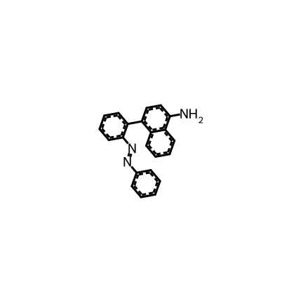 Nc1ccc(-c2ccccc2N=Nc2ccccc2)c2ccccc12